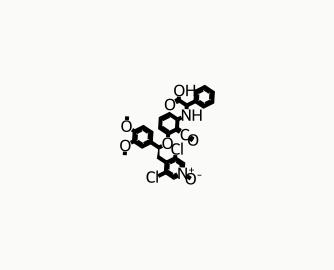 COc1ccc([C@H](Cc2c(Cl)c[n+]([O-])cc2Cl)OC2=CC=CC(NC(C(=O)O)c3ccccc3)C2=C=O)cc1OC